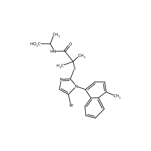 Cc1ccc(-n2c(Br)cnc2SC(C)(C)C(=O)NC(C)C(=O)O)c2ccccc12